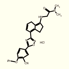 CC(C)Oc1ccc(-c2nc(C3=C4CCC(NCC(=O)N(C)C)=C4CC=C3)no2)cc1C#N.Cl